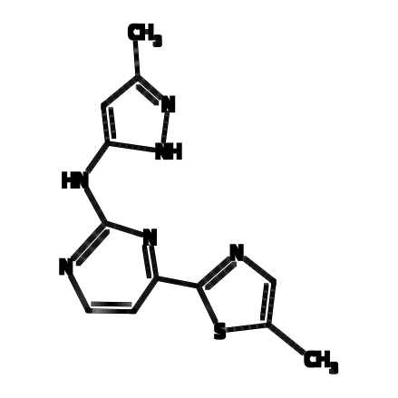 Cc1cc(Nc2nccc(-c3ncc(C)s3)n2)[nH]n1